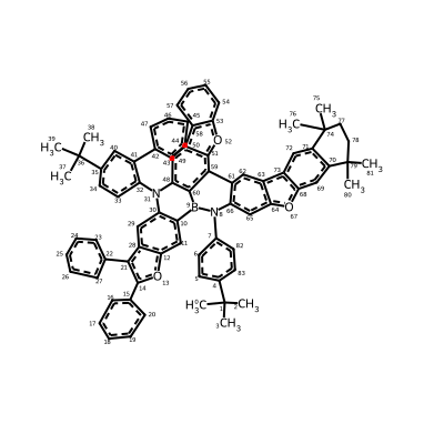 CC(C)(C)c1ccc(N2B3c4cc5oc(-c6ccccc6)c(-c6ccccc6)c5cc4N(c4ccc(C(C)(C)C)cc4-c4ccccc4)c4cc5c(oc6ccccc65)c(c43)-c3cc4c(cc32)oc2cc3c(cc24)C(C)(C)CCC3(C)C)cc1